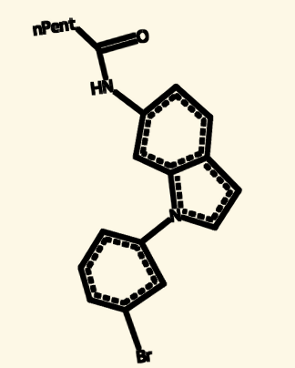 CCCCCC(=O)Nc1ccc2ccn(-c3cccc(Br)c3)c2c1